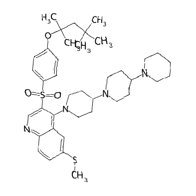 CSc1ccc2ncc(S(=O)(=O)c3ccc(OC(C)(C)CC(C)(C)C)cc3)c(N3CCC(N4CCC(N5CCCCC5)CC4)CC3)c2c1